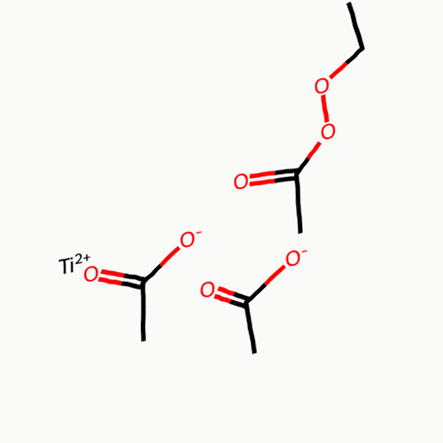 CC(=O)[O-].CC(=O)[O-].CCOOC(C)=O.[Ti+2]